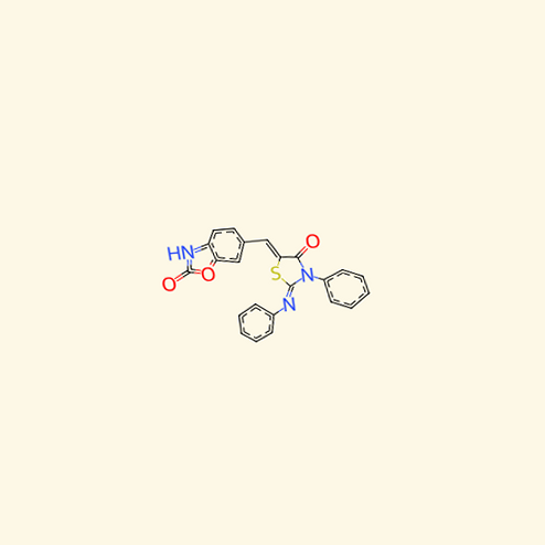 O=C1C(=Cc2ccc3[nH]c(=O)oc3c2)SC(=Nc2ccccc2)N1c1ccccc1